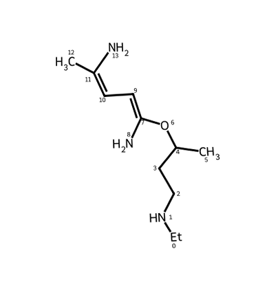 CCNCCC(C)O/C(N)=C/C=C(/C)N